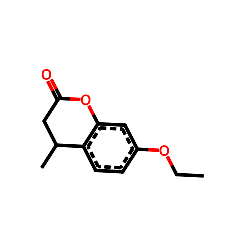 CCOc1ccc2c(c1)OC(=O)CC2C